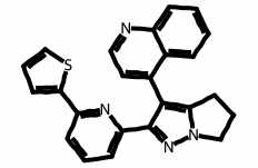 c1cc(-c2cccs2)nc(-c2nn3c(c2-c2ccnc4ccccc24)CCC3)c1